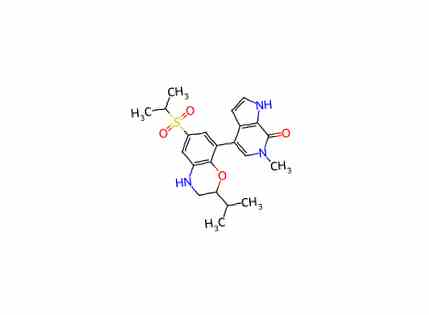 CC(C)C1CNc2cc(S(=O)(=O)C(C)C)cc(-c3cn(C)c(=O)c4[nH]ccc34)c2O1